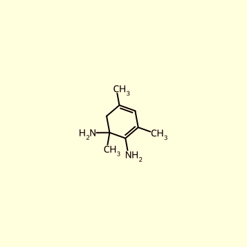 CC1=CC(C)=C(N)C(C)(N)C1